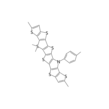 Cc1ccc(-n2c3c4sc(C)cc4sc3c3sc4c5c(sc4c32)-c2sc3cc(C)sc3c2S5(C)C)cc1